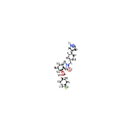 Cn1cc(-c2ccc(CN3Cc4cccc(OCc5ccc(F)cc5)c4C3=O)cc2)cn1